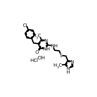 Cc1nc(NCCSCc2nc[nH]c2C)[nH]c(=O)c1Cc1ccc(Cl)cc1.Cl.Cl